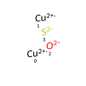 [Cu+2].[Cu+2].[O-2].[S-2]